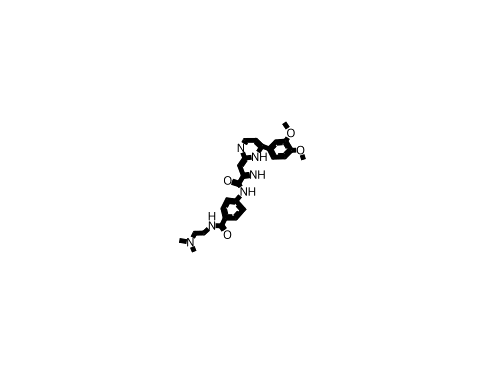 COc1ccc(C2=CC=N/C(=C/C(=N)C(=O)Nc3ccc(C(=O)NCCN(C)C)cc3)N2)cc1OC